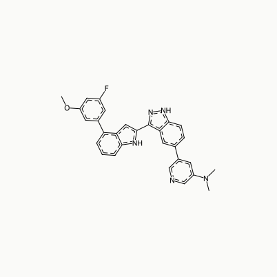 COc1cc(F)cc(-c2cccc3[nH]c(-c4n[nH]c5ccc(-c6cncc(N(C)C)c6)cc45)cc23)c1